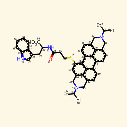 CCC(CC)N1Cc2ccc3c4ccc5c6c(cc(SCCC(=O)NC(Cc7c[nH]c8ccccc78)C(=O)O)c(c7ccc(c2c37)C1)c64)CN(C(CC)CC)C5